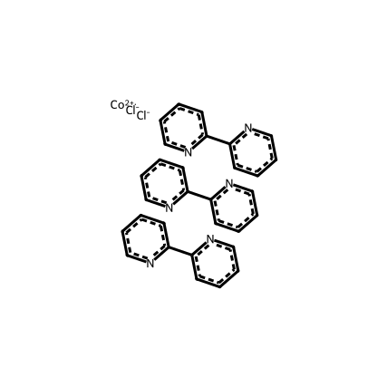 [Cl-].[Cl-].[Co+2].c1ccc(-c2ccccn2)nc1.c1ccc(-c2ccccn2)nc1.c1ccc(-c2ccccn2)nc1